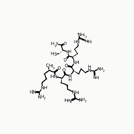 C[C@H](CCCNC(=N)N)C(=O)N[C@H](CCCNC(=N)N)C(=O)N[C@H](CCCNC(=N)N)C(=O)N[C@H](CCCNC(=N)N)C(=O)N[C@H](CS)C(N)=O